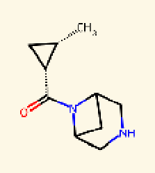 C[C@H]1C[C@H]1C(=O)N1C2CNCC1C2